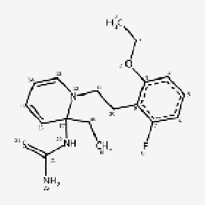 CCOc1cccc(F)c1CCN1C=CC=CC1(CC)NC(N)=S